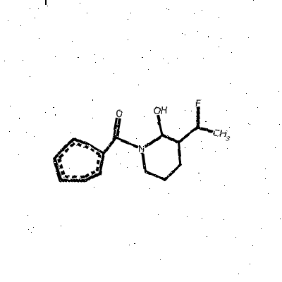 CC(F)C1CCCN(C(=O)c2ccccc2)C1O